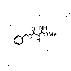 COC(=N)NC(=O)OCc1ccccc1